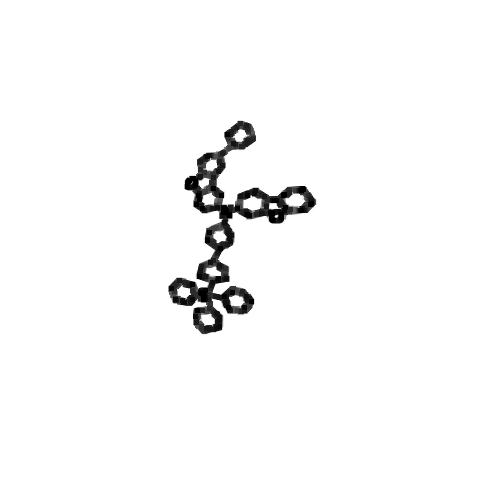 c1ccc(-c2ccc3oc4ccc(N(c5ccc(-c6ccc([Si](c7ccccc7)(c7ccccc7)c7ccccc7)cc6)cc5)c5ccc6c(c5)oc5ccccc56)cc4c3c2)cc1